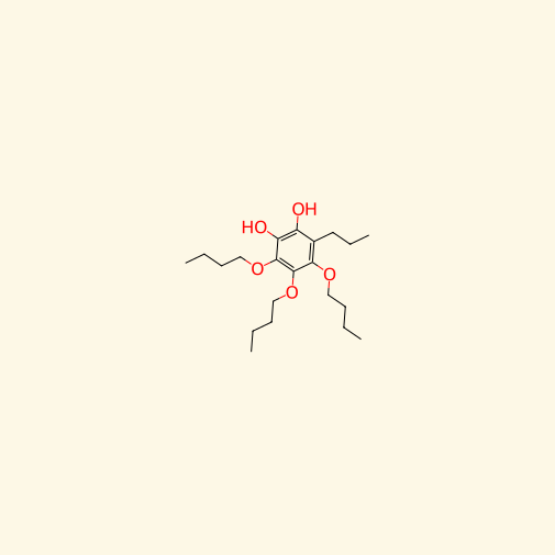 CCCCOc1c(O)c(O)c(CCC)c(OCCCC)c1OCCCC